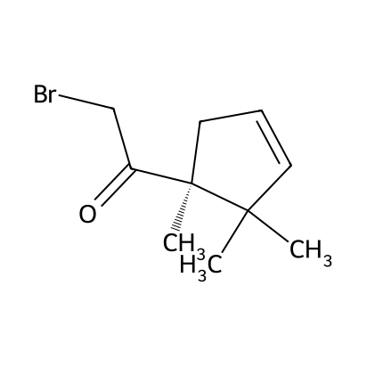 CC1(C)C=CC[C@]1(C)C(=O)CBr